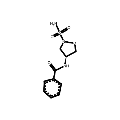 NS(=O)(=O)N1C[C@H](NC(=O)c2ccccc2)CO1